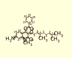 CC(C)=CCC/C(C)=C/COc1c(OC(=O)c2ccccc2)c2ccc(N)cc2n(C)c1=O